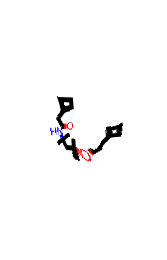 CC(C)(CC(C)(C)OCCC1CCC1)NC(=O)CC1CCC1